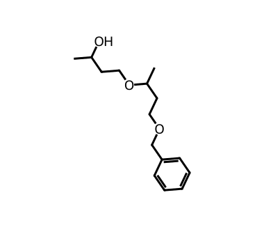 CC(O)CCOC(C)CCOCc1ccccc1